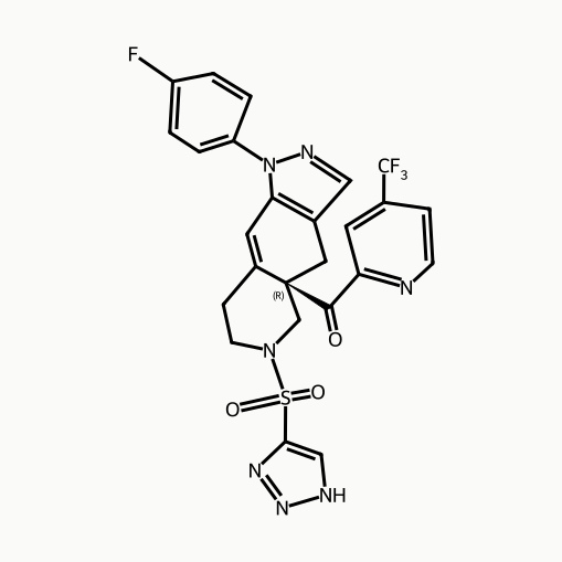 O=C(c1cc(C(F)(F)F)ccn1)[C@]12Cc3cnn(-c4ccc(F)cc4)c3C=C1CCN(S(=O)(=O)c1c[nH]nn1)C2